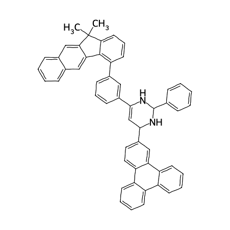 CC1(C)c2cc3ccccc3cc2-c2c(-c3cccc(C4=CC(c5ccc6c7ccccc7c7ccccc7c6c5)NC(c5ccccc5)N4)c3)cccc21